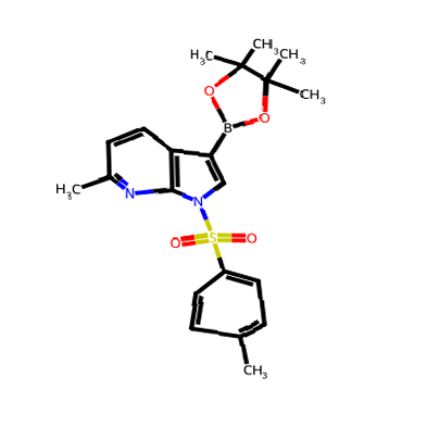 Cc1ccc(S(=O)(=O)n2cc(B3OC(C)(C)C(C)(C)O3)c3ccc(C)nc32)cc1